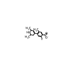 Cc1cc([N+](=O)[O-])c(F)cc1C1=CC(C)NC(C)C1